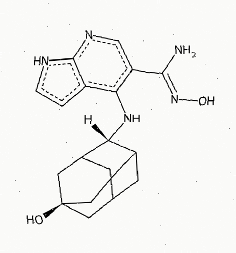 NC(=NO)c1cnc2[nH]ccc2c1N[C@H]1C2CC3CC1C[C@](O)(C3)C2